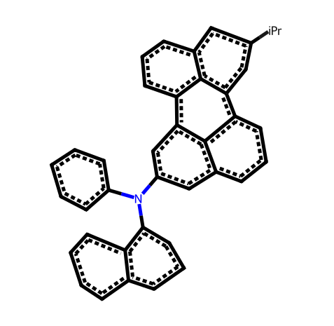 CC(C)c1cc2cccc3c4cc(N(c5ccccc5)c5cccc6ccccc56)cc5cccc(c(c1)c23)c54